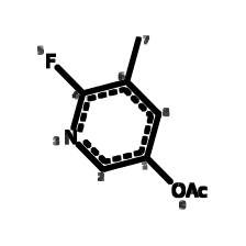 CC(=O)Oc1cnc(F)c(C)c1